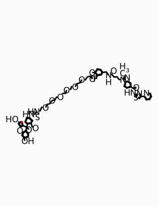 Cc1nc2cc(C(=O)Nc3nc(-c4ccccn4)cs3)ccc2n1CCCC(=O)NCc1ccc(OC(=O)CCOCCOCCOCCOCCOCCOCCNC(=S)Nc2ccc3c(c2)C(=O)OC32c3ccc(O)cc3Oc3cc(O)ccc32)c(F)c1